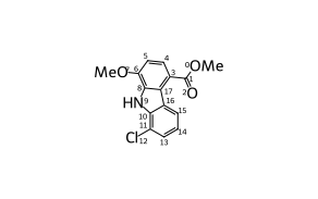 COC(=O)c1ccc(OC)c2[nH]c3c(Cl)cccc3c12